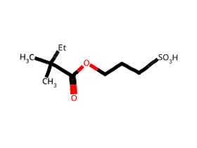 CCC(C)(C)C(=O)OCCCS(=O)(=O)O